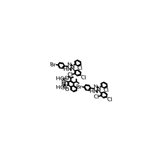 CC(C)c1c(S(=O)(=O)O)c(S(=O)(=O)O)c2ccccc2c1C(C)C.Clc1cc(Cl)c(N2NC(c3ccc(Br)cc3)=NN2c2ccccc2)c(Cl)c1.Clc1cc(Cl)c(N2NC(c3ccc(Br)cc3)=NN2c2ccccc2)c(Cl)c1